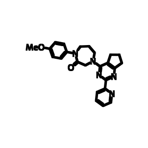 COc1ccc(N2CCCN(c3nc(-c4ccccn4)nc4c3CCC4)CC2=O)cc1